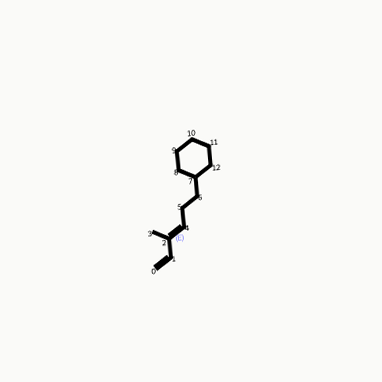 C=C/C(C)=C/CCC1CCCCC1